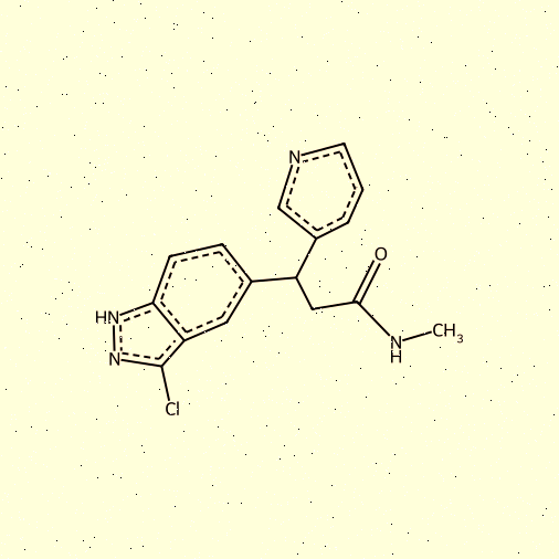 CNC(=O)CC(c1cccnc1)c1ccc2[nH]nc(Cl)c2c1